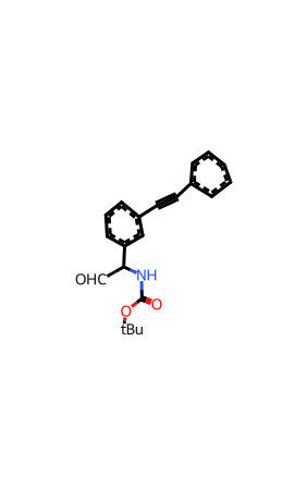 CC(C)(C)OC(=O)NC(C=O)c1cccc(C#Cc2ccccc2)c1